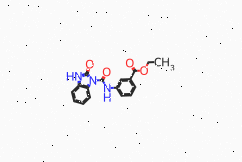 CCOC(=O)c1cccc(NC(=O)n2c(=O)[nH]c3ccccc32)c1